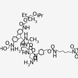 CCC(C)(CCOC(C)C)OCC(=O)Nc1ccc2c(c1)C(C(=O)NC(C)C(=O)NC(C)C(=O)NC(CC(N)=O)C(=O)Nc1ccc(COC(=O)NCCCCCCN3C(=O)C=CC3=O)cc1)c1cc(NC(=O)CO)ccc1-2